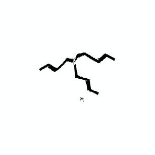 CC=CCP(CC=CC)CC=CC.[Pt]